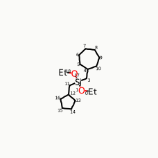 CCO[Si](CC1CCCCCC1)(CC1CCCC1)OCC